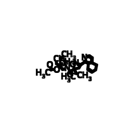 CCOC(CC)(CNC(=O)C1(C(C)C)CC(c2nccc3c2C=CCC3)=NO1)OC(C)=O